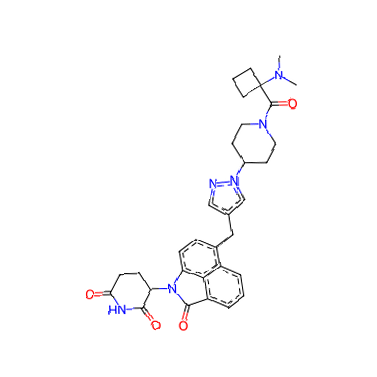 CN(C)C1(C(=O)N2CCC(n3cc(Cc4ccc5c6c(cccc46)C(=O)N5C4CCC(=O)NC4=O)cn3)CC2)CCC1